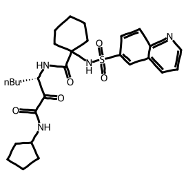 CCCC[C@H](NC(=O)C1(NS(=O)(=O)c2ccc3ncccc3c2)CCCCC1)C(=O)C(=O)NC1CCCC1